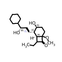 CCC1C(=O)C2(OC)CC[C@H](O)[C@@H](/C=C/[C@H](O)C3CCCCC3)[C@H]12